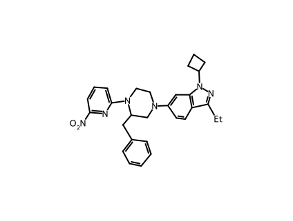 CCc1nn(C2CCC2)c2cc(N3CCN(c4cccc([N+](=O)[O-])n4)C(Cc4ccccc4)C3)ccc12